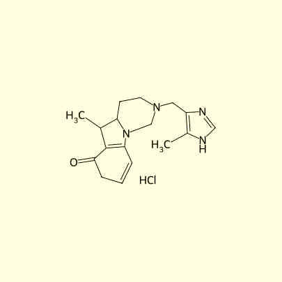 Cc1[nH]cnc1CN1CCC2C(C)C3=C(C=CCC3=O)N2C1.Cl